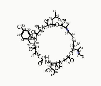 C/C=C(\C)[C@H]1OC(=O)[C@H](C)NC(=O)[C@H]([C@H](C)CC)NC(=O)CN(C)C(=O)[C@@H](Cc2ccc(Cl)cc2)N(C)C(=O)[C@H](C)NC(=O)[C@@H](CC(C)C)OC(=O)/C(C)=C/C[CH][C@@H]1C